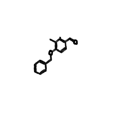 Cc1[c]c(C=O)ccc1OCc1ccccc1